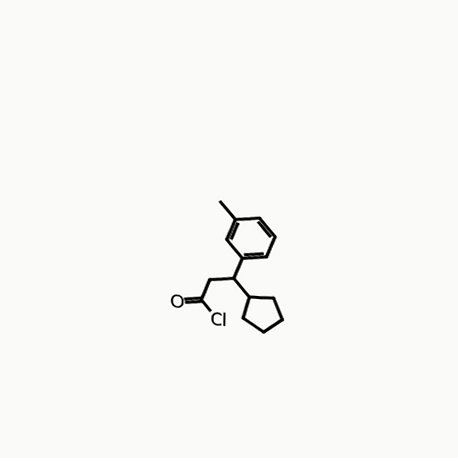 Cc1cccc(C(CC(=O)Cl)C2CCCC2)c1